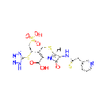 O=C(O)C1=C(C(CS(=O)(=O)O)Sc2nnn[nH]2)CS[C@H]2C(NC(=S)Cc3cccnc3)C(=O)N12